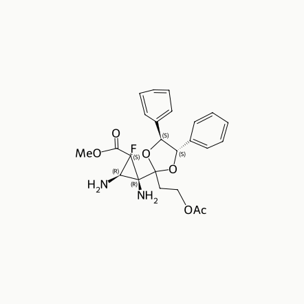 COC(=O)[C@]1(F)[C@H](N)[C@@]1(N)C1(CCOC(C)=O)O[C@@H](c2ccccc2)[C@H](c2ccccc2)O1